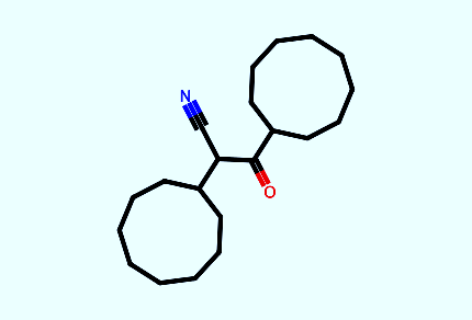 N#CC(C(=O)C1CCCCCCCC1)C1CCCCCCCC1